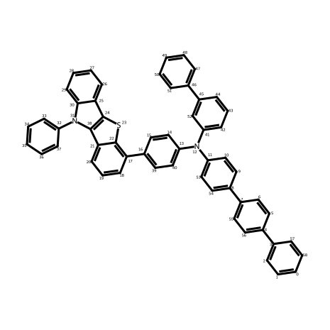 c1ccc(-c2ccc(-c3ccc(N(c4ccc(-c5cccc6c5sc5c7ccccc7n(-c7ccccc7)c65)cc4)c4cccc(-c5ccccc5)c4)cc3)cc2)cc1